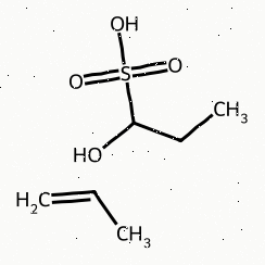 C=CC.CCC(O)S(=O)(=O)O